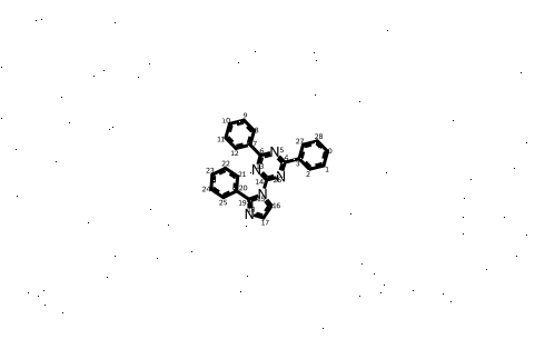 c1ccc(-c2nc(-c3ccccc3)nc(-n3ccnc3-c3ccccc3)n2)cc1